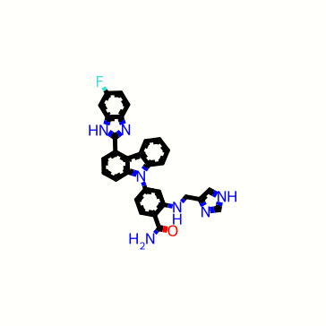 NC(=O)c1ccc(-n2c3ccccc3c3c(-c4nc5ccc(F)cc5[nH]4)cccc32)cc1NCc1c[nH]cn1